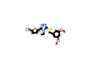 CCn1c(SCc2cc(OC)cc(OC)c2)nnc1-c1ccc(Cl)s1